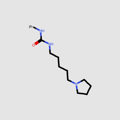 CC(C)NC(=O)NCCCCCN1C[CH]CC1